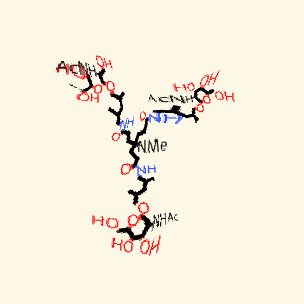 CNC(CCC(=O)NCC(C)CC(C)COC1OC(CO)C(O)C(O)[C@@H]1NC(C)=O)(CCC(=O)NCC(C)CC(C)COC1OC(CO)C(O)C(O)[C@@H]1NC(C)=O)CCC(=O)NCC(C)CC(C)COC(OC(CO)[C@@H](C)O)[C@H](CO)NC(C)=O